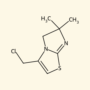 CC1(C)CN2C(CCl)=CSC2=N1